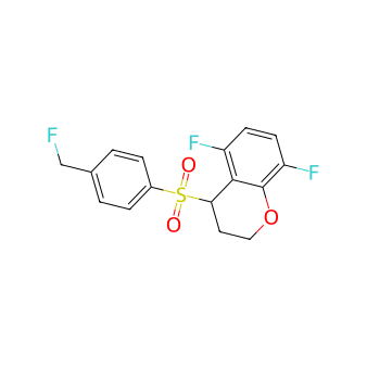 O=S(=O)(c1ccc(CF)cc1)C1CCOc2c(F)ccc(F)c21